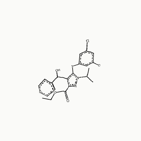 CCOC(=O)c1nn(C(C)C)c(Sc2cc(Cl)cc(Cl)c2)c1C(O)c1ccncc1